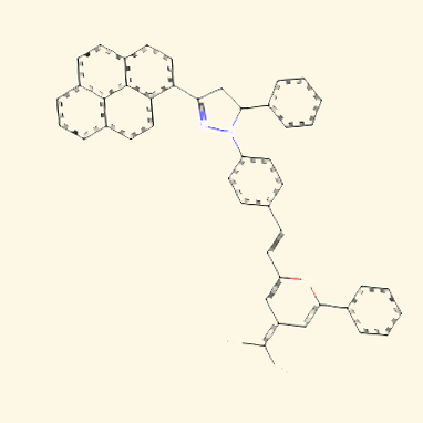 N#CC(C#N)=C1C=C(C=Cc2ccc(N3N=C(c4ccc5ccc6cccc7ccc4c5c67)CC3c3ccccc3)cc2)OC(c2ccccc2)=C1